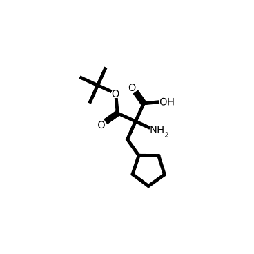 CC(C)(C)OC(=O)C(N)(CC1CCCC1)C(=O)O